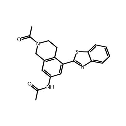 CC(=O)Nc1cc2c(c(-c3nc4ccccc4s3)c1)CCN(C(C)=O)C2